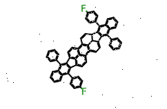 Fc1ccc(-c2c3c(c(-c4ccccc4)c4ccccc24)-c2ccc4c5c6c(c7ccc-3c2c47)=CC=C2c3c(c(-c4ccc(F)cc4)c4ccccc4c3-c3ccccc3)C(C=C5)C26)cc1